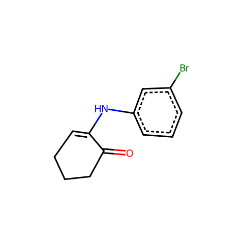 O=C1CCCC=C1Nc1cccc(Br)c1